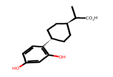 CC(C(=O)O)[C@H]1CC[C@H](c2ccc(O)cc2O)CC1